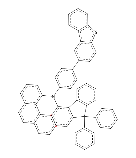 c1ccc(C2(c3ccccc3)c3ccccc3-c3c(N(c4ccc(-c5ccc6sc7ccccc7c6c5)cc4)c4cccc5ccc6ccccc6c45)cccc32)cc1